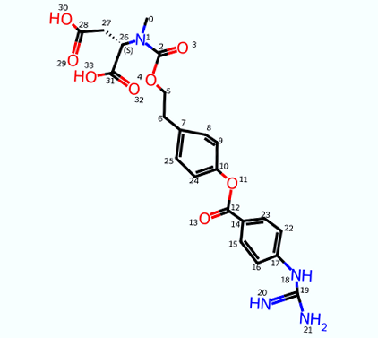 CN(C(=O)OCCc1ccc(OC(=O)c2ccc(NC(=N)N)cc2)cc1)[C@@H](CC(=O)O)C(=O)O